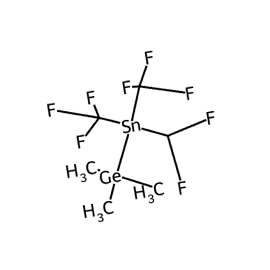 [CH3][Ge]([CH3])([CH3])[Sn]([CH](F)F)([C](F)(F)F)[C](F)(F)F